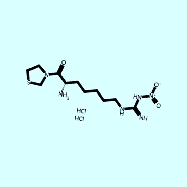 Cl.Cl.N=C(NCCCCC[C@H](N)C(=O)N1CCSC1)N[N+](=O)[O-]